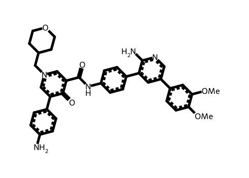 COc1ccc(-c2cnc(N)c(-c3ccc(NC(=O)c4cn(CC5CCOCC5)cc(-c5ccc(N)cc5)c4=O)cc3)c2)cc1OC